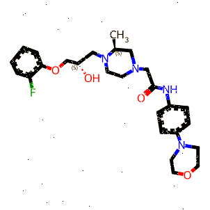 C[C@H]1CN(CC(=O)Nc2ccc(N3CCOCC3)cc2)CCN1C[C@H](O)COc1ccccc1F